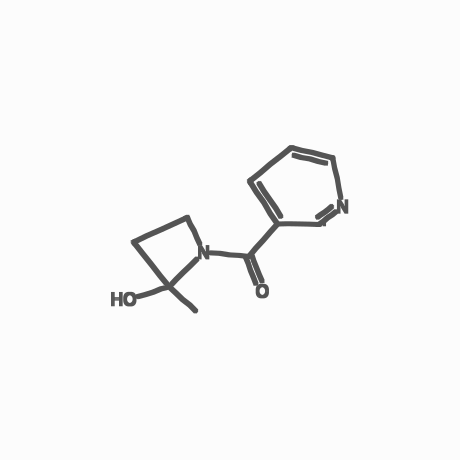 CC1(O)CCN1C(=O)c1[c]nccc1